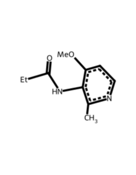 CCC(=O)Nc1c(OC)ccnc1C